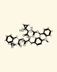 COc1ccc(C[C@H](NC(=O)[C@@H](NC(=O)OCc2ccccc2)C2(O)CC2)C(=O)N[C@@H](Cc2ccccc2)C(=O)[C@H]2CO2)cc1